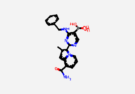 Cc1cc2c(C(N)=O)cccn2c1-c1ncc(B(O)O)c(NCc2ccccc2)n1